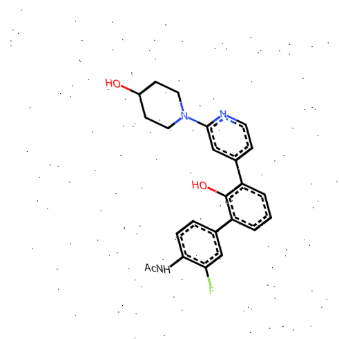 CC(=O)Nc1ccc(-c2cccc(-c3ccnc(N4CCC(O)CC4)c3)c2O)cc1F